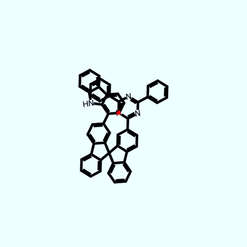 c1ccc(-c2nc(-c3ccccc3)nc(-c3ccc4c(c3)C3(c5ccccc5-4)c4ccccc4-c4ccc(-c5cccc6c5[nH]c5ccccc56)cc43)n2)cc1